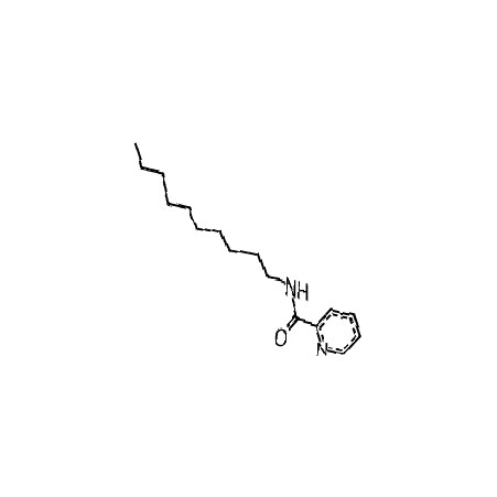 CCCCCCCCCCNC(=O)c1ccccn1